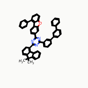 CC1(C)c2ccccc2-c2c(-c3nc(-c4cccc(-c5cccc(-c6ccccc6)c5)c4)nc(-c4ccc5c(c4)oc4cccc(-c6ccccc6)c45)n3)cccc21